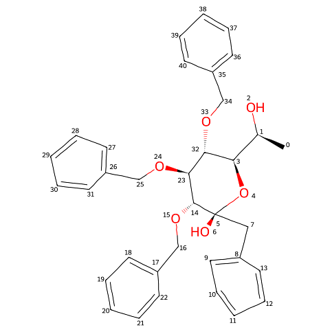 C[C@H](O)[C@H]1O[C@](O)(Cc2ccccc2)[C@H](OCc2ccccc2)[C@@H](OCc2ccccc2)[C@@H]1OCc1ccccc1